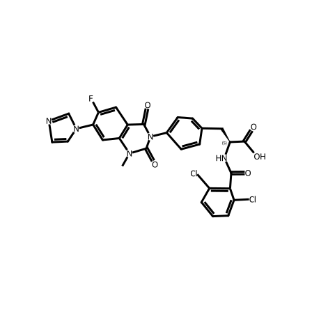 Cn1c(=O)n(-c2ccc(C[C@H](NC(=O)c3c(Cl)cccc3Cl)C(=O)O)cc2)c(=O)c2cc(F)c(-n3ccnc3)cc21